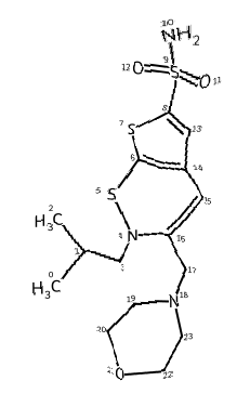 CC(C)CN1Sc2sc(S(N)(=O)=O)cc2C=C1CN1CCOCC1